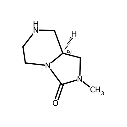 CN1C[C@@H]2CNCCN2C1=O